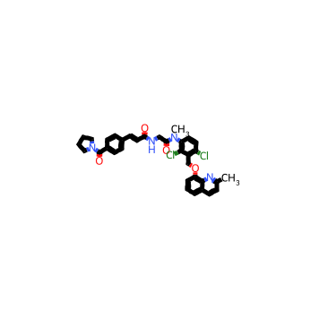 Cc1ccc2cccc(OCc3c(Cl)ccc(N(C)C(=O)CNC(=O)C=Cc4ccc(C(=O)N5CCCC5)cc4)c3Cl)c2n1